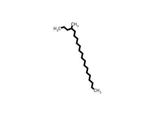 CCCCCCCCCCCCCCCCCC(C)CCC